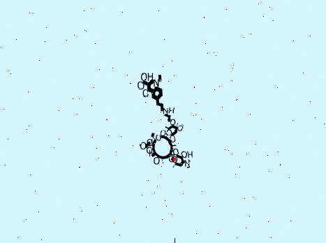 CC[C@@H]1OC(=O)[C@H](C)[C@H](O[C@@H]2C[C@](C)(OC)[C@H](OCCCNCCCc3ccc4c(c3)c(=O)c(C(=O)O)cn4CC)[C@H](C)O2)[C@@H](C)[C@H](O[C@H]2O[C@@H](C)C[C@@H](N(C)C)[C@H]2O)[C@](C)(OC)C[C@H](C)C(=O)C(C)[C@H]2OC(=O)O[C@@]12C